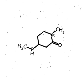 CPC1CC[C@@H](C)C(=O)C1